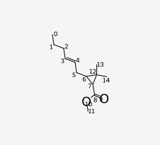 CCC/C=C/CC1C(C(=O)OC)C1(C)C